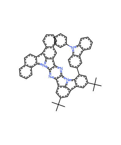 CC(C)(C)c1cc(-c2ccc3c(c2)c2ccccc2n3-c2ccccc2)c2c(c1)c1cc(C(C)(C)C)cc3c4nc5c(nc4n2c13)c1cc2ccccc2c2c3ccc4ccccc4c3n5c12